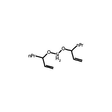 C=CC(CCC)O[SiH2]OC(C=C)CCC